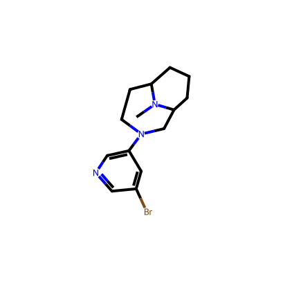 CN1C2CCCC1CN(c1cncc(Br)c1)CC2